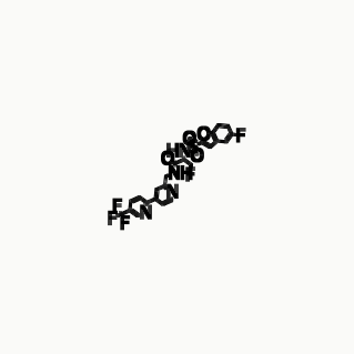 O=C(NCc1cc(-c2ccc(C(F)(F)F)cn2)ccn1)C(CF)NS(=O)(=O)c1cc2cc(F)ccc2o1